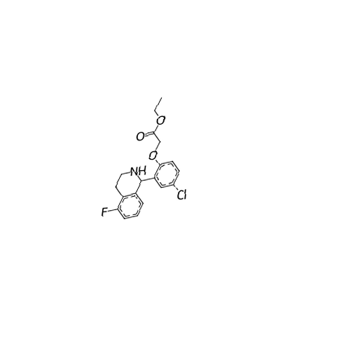 CCOC(=O)COc1ccc(Cl)cc1C1NCCc2c(F)cccc21